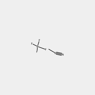 C[N+]#N.F[B-](F)(F)F